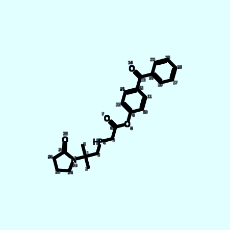 CC(C)(CPCC(=O)Oc1ccc(C(=O)c2ccccc2)cc1)N1CCCC1=O